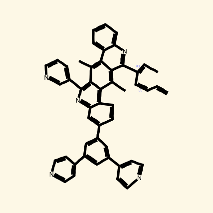 C=C/C=C\C(=C/C)c1nc2ccccc2c2c(C)c3c(-c4cccnc4)nc4cc(-c5cc(-c6ccncc6)cc(-c6ccncc6)c5)ccc4c3c(C)c12